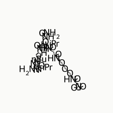 CCCCc1nc2c(N)nnc(OC(C)C)c2n1Cc1ccc(CNC(=O)[C@H](CCCNC(N)=O)NC(=O)[C@@H](NC(=O)CCCC(=O)NCCOCCOCCOCCNC(=O)CCN2C(=O)C=CC2=O)C(C)C)cc1